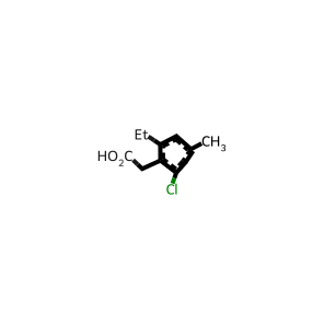 CCc1cc(C)cc(Cl)c1CC(=O)O